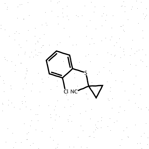 N#CC1(Sc2ccccc2Cl)CC1